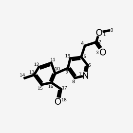 COC(=O)Cc1cncc(-c2ccc(C)cc2C=O)c1